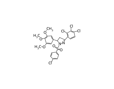 COc1cc(C2CC(c3ccc(Cl)c(Cl)c3Cl)=NN2S(=O)(=O)c2ccc(Cl)cc2)cc(OC)c1OC